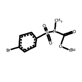 CN(C(=O)OC(C)(C)C)S(=O)(=O)c1ccc(Br)cc1